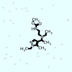 CCN(CCNC(=O)OC)C(C)c1cnn(CC)c1C